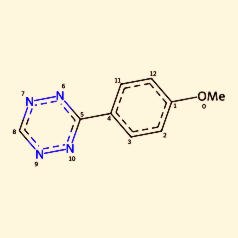 COc1ccc(-c2nncnn2)cc1